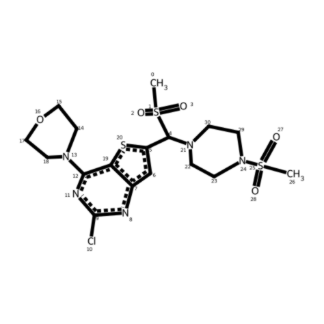 CS(=O)(=O)C(c1cc2nc(Cl)nc(N3CCOCC3)c2s1)N1CCN(S(C)(=O)=O)CC1